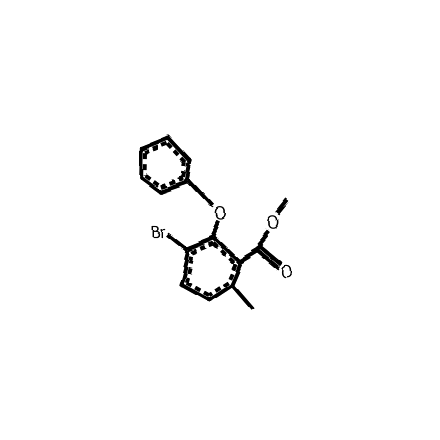 COC(=O)c1c(C)ccc(Br)c1Oc1ccccc1